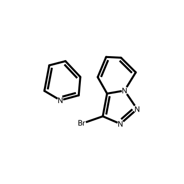 Brc1nnn2ccccc12.c1ccncc1